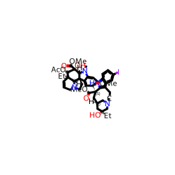 CC[C@]1(O)C[C@@H]2CN(CCc3c([nH]c4ccc(I)cc34)[C@@](C(=O)OC)(C3C=C4C(=CC3OC)N(C)[C@H]3[C@@](O)(C(=O)OC)[C@H](OC(C)=O)[C@]5(CC)C=CCN6CC[C@]43[C@@H]65)C2)C1